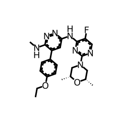 CCOc1ccc(-c2cc(Nc3nc(N4C[C@@H](C)O[C@@H](C)C4)ncc3F)nnc2NC)cc1